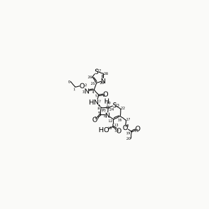 CCON=C(C(=O)N[C@@H]1C(=O)N2C(C(=O)O)=C(COC(C)=O)CS[C@H]12)c1cscn1